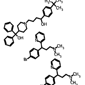 CC(C)(C)c1ccc(C(O)CCCN2CCC(C(O)(c3ccccc3)c3ccccc3)CC2)cc1.CN(C)CCC(c1ccc(Br)cc1)c1ccccn1.CN(C)CCC(c1ccc(Cl)cc1)c1ccccn1